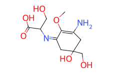 COC1=C(N)CC(O)(CO)CC1=NC(CO)C(=O)O